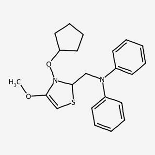 COC1=CSC(CN(c2ccccc2)c2ccccc2)N1OC1CCCC1